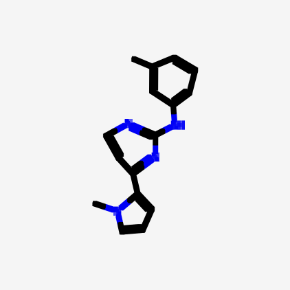 Cc1cccc(Nc2nccc(-c3cccn3C)n2)c1